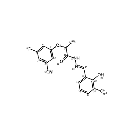 CCC(Oc1cc(F)cc(C#N)c1)C(=O)NN=Cc1cccc(C)c1O